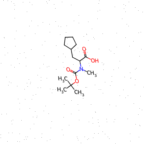 CN(C(=O)OC(C)(C)C)C(CC1CCCC1)C(=O)O